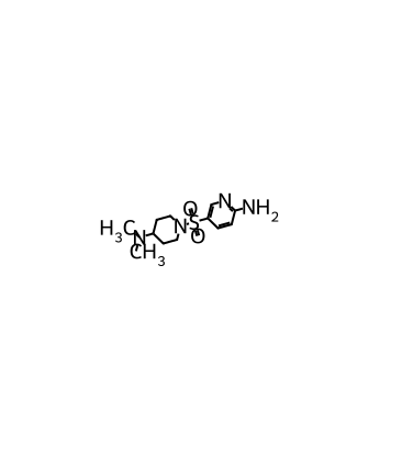 CN(C)C1CCN(S(=O)(=O)c2ccc(N)nc2)CC1